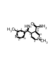 Cc1cc(C(=N)C2C=CN(C)C=C2C(N)=O)ccn1